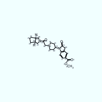 COC(=O)c1ccc2c(c1)CC(=O)N2C1CCN(CC(=O)N2C[C@H]3CCC[C@H]3C2)CC1